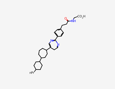 CCCC1CCC(C2CCCC(C3=CN=C(c4ccc(CCC(=O)NCC(=O)O)cc4)N=CC3)CC2)CC1